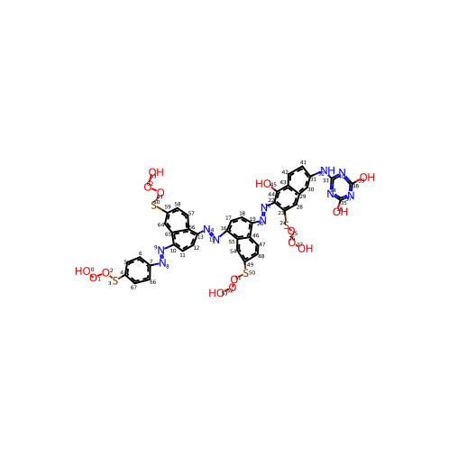 OOOSc1ccc(N=Nc2ccc(N=Nc3ccc(N=Nc4c(SOOO)cc5cc(Nc6nc(O)nc(O)n6)ccc5c4O)c4ccc(SOOO)cc34)c3ccc(SOOO)cc23)cc1